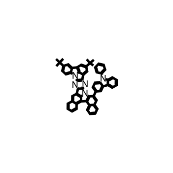 CC(C)(C)c1ccc2c(c1)c1cc(C(C)(C)C)cc3c4nc5c(nc4n2c13)c1cc2ccccc2c2c3c4ccccc4cc(-c4ccc6c(c4)c4ccccc4n6-c4ccccc4)c3n5c12